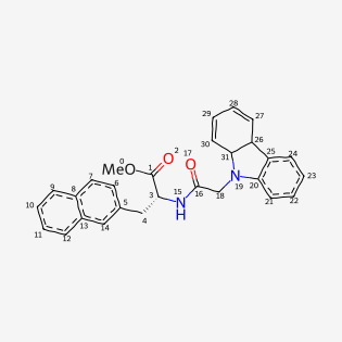 COC(=O)[C@@H](Cc1ccc2ccccc2c1)NC(=O)CN1c2ccccc2C2C=CC=CC21